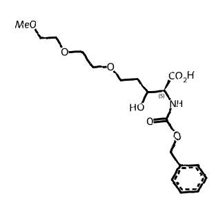 COCCOCCOCCC(O)[C@H](NC(=O)OCc1ccccc1)C(=O)O